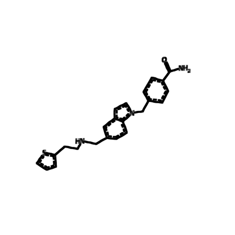 NC(=O)c1ccc(Cn2ccc3cc(CNCCc4cccs4)ccc32)cc1